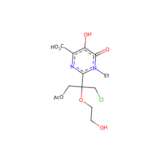 CCn1c(C(CCl)(COC(C)=O)OCCO)nc(C(=O)O)c(O)c1=O